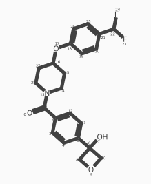 O=C(c1ccc(C2(O)COC2)cc1)N1CCC(Oc2ccc(C(F)F)cc2)CC1